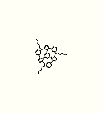 CCCCCCc1ccc(-c2ccccc2)n1-c1cc(-n2c(CCCCCC)ccc2-c2ccccc2)cc(-n2c(CCCCCC)ccc2-c2ccccc2)c1